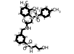 Cc1ccc(S(=O)(=O)N(CC(=O)NCc2cccc(S(=O)(=O)NCCO)c2)c2cccc(C)c2C)cc1